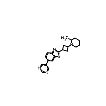 CC1CCCCN1C1CC(c2nc3ccc(-c4cncnc4)cc3s2)C1